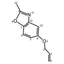 C=CCOc1ccc2oc(C)nc2c1